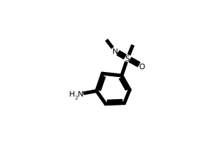 CN=S(C)(=O)c1cccc(N)c1